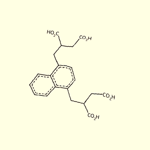 O=C(O)CC(Cc1ccc(CC(CC(=O)O)C(=O)O)c2ccccc12)C(=O)O